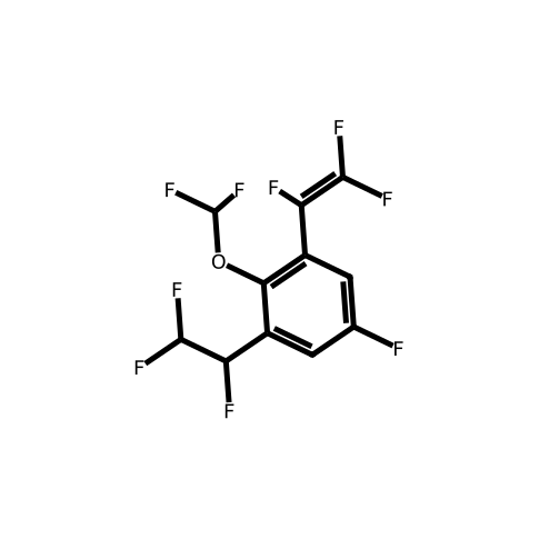 FC(F)=C(F)c1cc(F)cc(C(F)C(F)F)c1OC(F)F